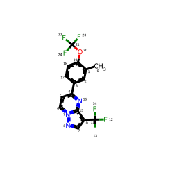 Cc1cc(-c2ccn3ncc(C(F)(F)F)c3n2)ccc1OC(F)(F)F